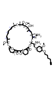 C#CCCCCO[C@@H]1CC[C@@H](C[C@@H](N)[C@@H]2C/C(=N/N)[C@H](C)/C=C(\C)[C@@H](O)[C@@H](OC)C(=O)[C@H](C)C[C@H](C)/C=C/C=C/C=C(\C)[C@@H](OC)C[C@@H]3CC[C@@H](C)[C@@](O)(O3)C(=O)C(=O)N3CCCC[C@H]3C(=O)O2)C[C@H]1OC